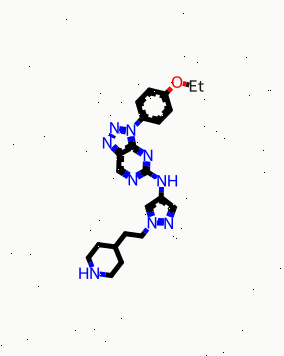 CCOc1ccc(-n2nnc3cnc(Nc4cnn(CCC5CCNCC5)c4)nc32)cc1